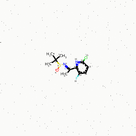 C/C(=N\[S+]([O-])C(C)(C)C)c1nc(Cl)ccc1F